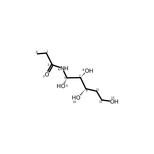 CCC(=O)N[C@@H](O)[C@H](O)[C@@H](O)CCO